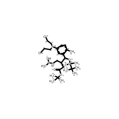 CB(O)NCC(CC(=O)OC(C)(C)C)C(O[Si](C)(C)C(C)(C)C)c1cc(N(CCCl)CCCl)ccc1C